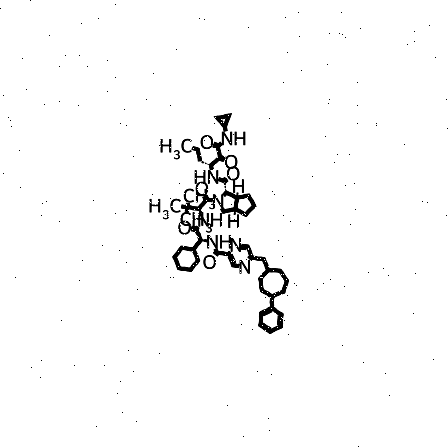 CCC[C@@H](NC(=O)[C@@H]1[C@H]2CCC[C@H]2CN1C(=O)[C@@H](NC(=O)[C@@H](NC(=O)c1cnc(CC2CCCC(c3ccccc3)CC2)cn1)C1CCCCC1)C(C)(C)C)C(=O)C(=O)NC1CC1